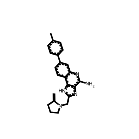 C=C1CCCN1Cc1nc2c(N)nc3cc(-c4ccc(C)cc4)ccc3c2[nH]1